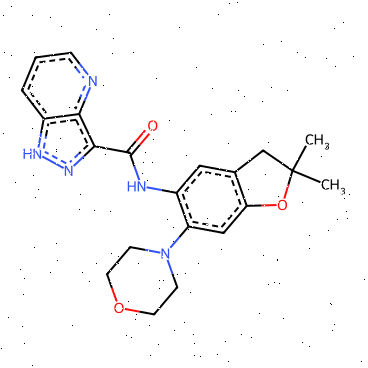 CC1(C)Cc2cc(NC(=O)c3n[nH]c4cccnc34)c(N3CCOCC3)cc2O1